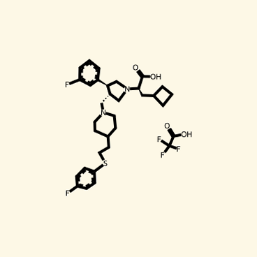 O=C(O)C(F)(F)F.O=C(O)[C@@H](CC1CCC1)N1C[C@H](CN2CCC(CCSc3ccc(F)cc3)CC2)[C@@H](c2cccc(F)c2)C1